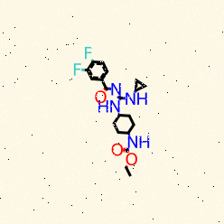 CCOC(=O)N[C@H]1CC[C@H](N/C(=N\C(=O)c2ccc(F)c(F)c2)NC2CC2)CC1